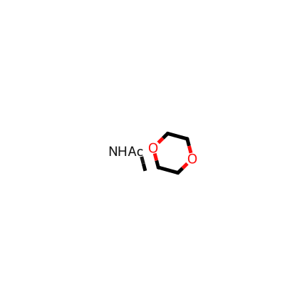 C1COCCO1.CNC(C)=O